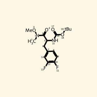 CON(C)C(=O)C(Cc1ccc(F)c(F)c1)NC(=O)OC(C)(C)C